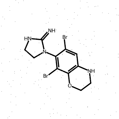 N=C1NCCN1c1c(Br)cc2c(c1Br)OCCN2